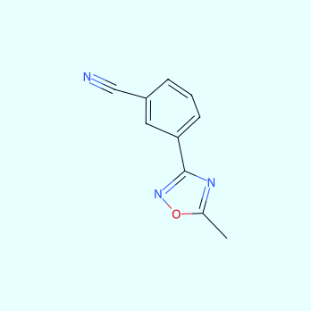 Cc1nc(-c2cccc(C#N)c2)no1